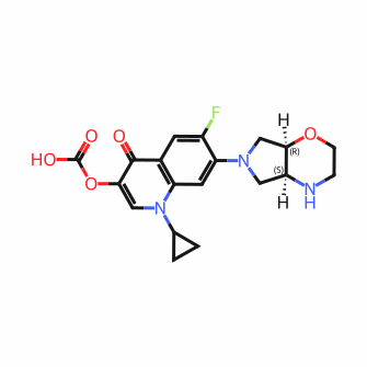 O=C(O)Oc1cn(C2CC2)c2cc(N3C[C@@H]4NCCO[C@@H]4C3)c(F)cc2c1=O